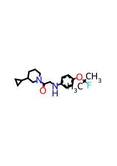 CC(C)(F)Oc1ccc(NCC(=O)N2CCCC(C3CC3)C2)cc1